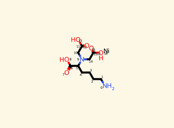 NCCCCC(C(=O)O)N(CC(=O)O)CC(=O)O.[Ni]